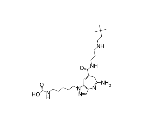 CC(C)(C)CCNCCCNC(=O)C1=Cc2c(cnn2CCCCCNC(=O)O)N=C(N)C1